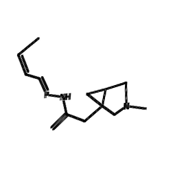 C=C(CC12CC1CN(C)C2)NP=C/C=C\C